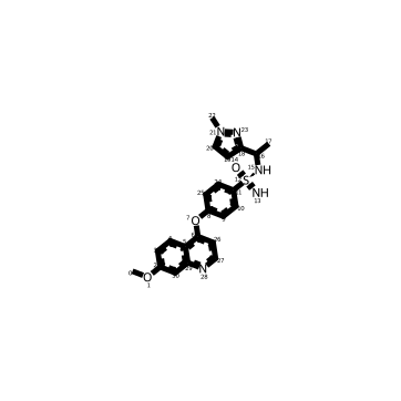 COc1ccc2c(Oc3ccc([S@](=N)(=O)NC(C)c4ccn(C)n4)cc3)ccnc2c1